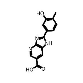 Cc1ccc(-c2nc3ncc(C(=O)O)cc3[nH]2)cc1O